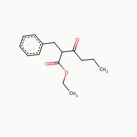 CCCC(=O)C(Cc1ccccc1)C(=O)OCC